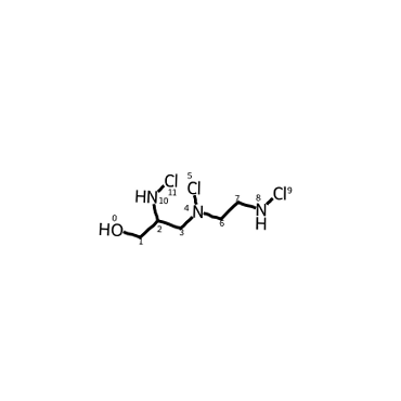 OCC(CN(Cl)CCNCl)NCl